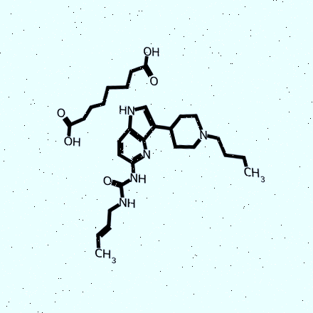 CC=CCNC(=O)Nc1ccc2[nH]cc(C3CCN(CCCC)CC3)c2n1.O=C(O)CCCCCCC(=O)O